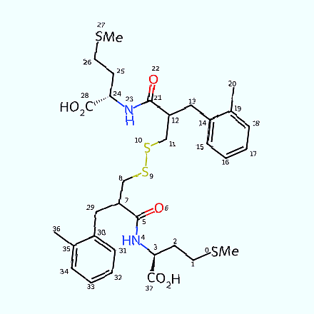 CSCC[C@H](NC(=O)C(CSSCC(Cc1ccccc1C)C(=O)N[C@@H](CCSC)C(=O)O)Cc1ccccc1C)C(=O)O